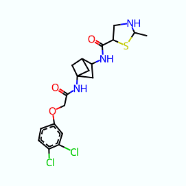 CC1NCC(C(=O)NC2CC3(NC(=O)COc4ccc(Cl)c(Cl)c4)CC2C3)S1